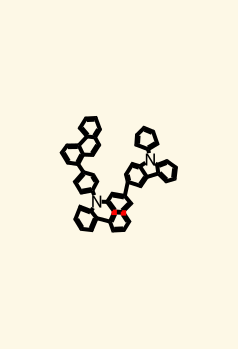 c1ccc(-c2ccccc2N(c2ccc(-c3cccc4c3ccc3ccccc34)cc2)c2cccc(-c3ccc4c(c3)c3ccccc3n4-c3ccccc3)c2)cc1